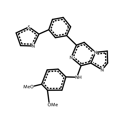 COc1ccc(Nc2nc(-c3cccc(-c4nccs4)c3)cn3ccnc23)cc1OC